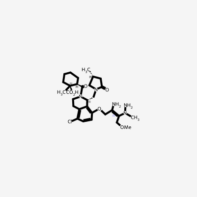 COC/C(=C(/N)COc1ccc(Cl)c2c1[C@@H](CN1C[C@H](C)CC1=O)N(C(=O)[C@@H]1CCCC[C@]1(C)C(=O)O)CC2)N(C)N